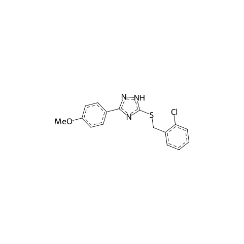 COc1ccc(-c2n[nH]c(SCc3ccccc3Cl)n2)cc1